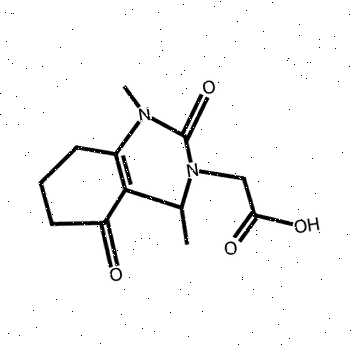 CC1C2=C(CCCC2=O)N(C)C(=O)N1CC(=O)O